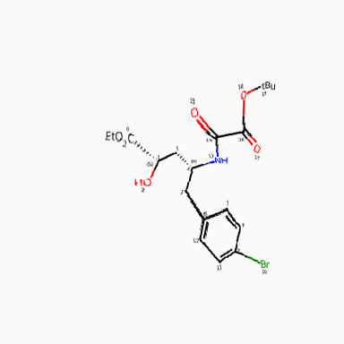 CCOC(=O)[C@@H](O)C[C@@H](Cc1ccc(Br)cc1)NC(=O)C(=O)OC(C)(C)C